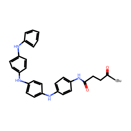 CC(C)(C)C(=O)CCC(=O)Nc1ccc(Nc2ccc(Nc3ccc(Nc4ccccc4)cc3)cc2)cc1